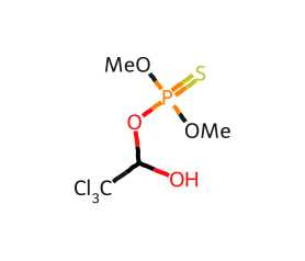 COP(=S)(OC)OC(O)C(Cl)(Cl)Cl